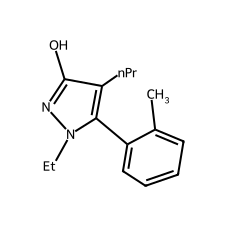 CCCc1c(O)nn(CC)c1-c1ccccc1C